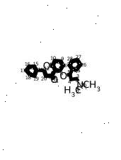 CN(C)CCC(Oc1cccc2oc(-c3ccccc3)cc(=O)c12)c1ccccc1